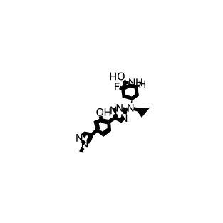 Cn1cc(-c2ccc(-c3cnc(N(C4CC4)[C@H]4C[C@@H]5CC(F)(C4)C(O)N5)nn3)c(O)c2)cn1